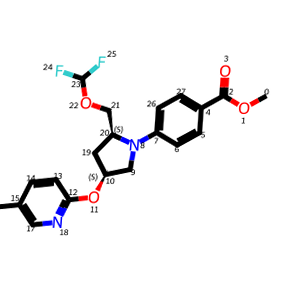 COC(=O)c1ccc(N2C[C@@H](Oc3ccc(C)cn3)C[C@H]2COC(F)F)cc1